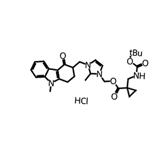 CC1N(COC(=O)C2(CNC(=O)OC(C)(C)C)CC2)C=CN1CC1CCc2c(c3ccccc3n2C)C1=O.Cl